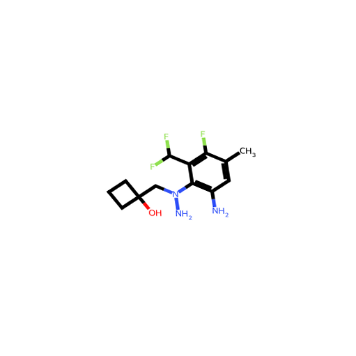 Cc1cc(N)c(N(N)CC2(O)CCC2)c(C(F)F)c1F